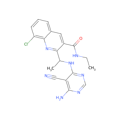 CCNC(=O)c1cc2cccc(Cl)c2nc1C(C)Nc1ncnc(N)c1C#N